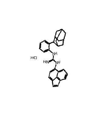 Cl.N=C(Nc1ccccc1C1C2CC3CC(C2)CC1C3)Nc1ccc2c3c(cccc13)C=C2